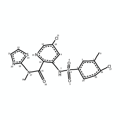 Cc1cc(S(=O)(=O)Nc2cc(Cl)cnc2C(=O)N(C)c2nccs2)ccc1Cl